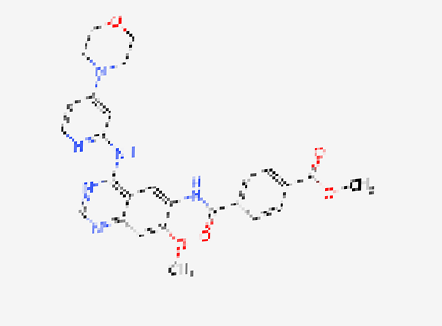 COC(=O)c1ccc(C(=O)Nc2cc3c(Nc4cc(N5CCOCC5)ccn4)ncnc3cc2OC)cc1